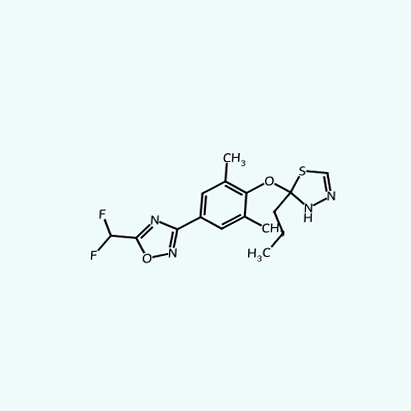 CCCC1(Oc2c(C)cc(-c3noc(C(F)F)n3)cc2C)NN=CS1